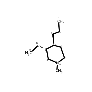 CCC[C@H]1CCN(C)C[C@@H]1CC